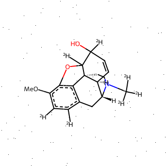 [2H]c1c([2H])c(OC)c2c3c1C[C@@H]1[C@@H]4C=CC([2H])(O)C([2H])(O2)[C@]34CCN1C([2H])([2H])[2H]